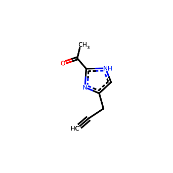 C#CCc1c[nH]c(C(C)=O)n1